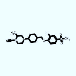 CC1CN(C2CCC(COc3ccc(S(C)(=O)=O)cc3F)CC2)CCN1C#N